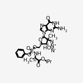 CC(C)OC(=O)[C@@H](C)N[P@@](=O)(OC[C@H]1O[C@@H](n2cnc3c(=O)[nH]c(N)nc32)[C@](C)(N=[N+]=[N-])[C@@H]1O)Oc1ccccc1